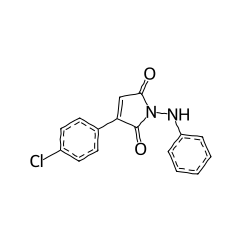 O=C1C=C(c2ccc(Cl)cc2)C(=O)N1Nc1ccccc1